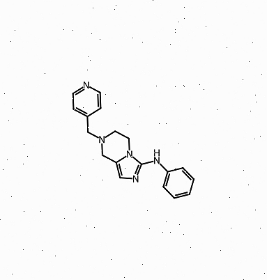 c1ccc(Nc2ncc3n2CCN(Cc2ccncc2)C3)cc1